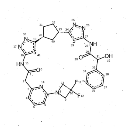 O=C(Cc1cccc(N2CC(F)(F)C2)n1)Nc1nnc([C@H]2CC[C@H](c3nnc(NC(=O)C(O)c4ccccc4)s3)C2)s1